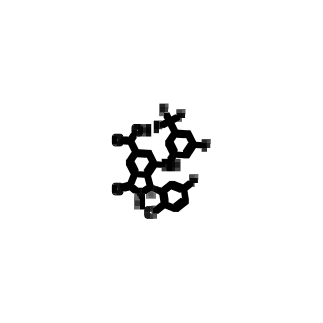 O=C(O)c1cc(Nc2cc(F)cc(C(F)(F)F)c2)c2c(c1)C(=O)N[C@@H]2c1cc(F)ccc1Cl